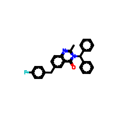 Cc1nc2ccc(Cc3ccc(F)cc3)cc2c(=O)n1C(c1ccccc1)c1ccccc1